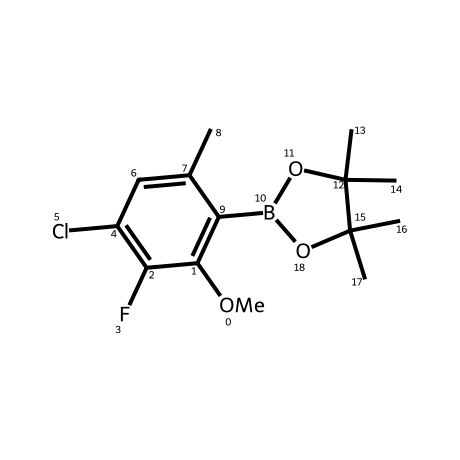 COc1c(F)c(Cl)cc(C)c1B1OC(C)(C)C(C)(C)O1